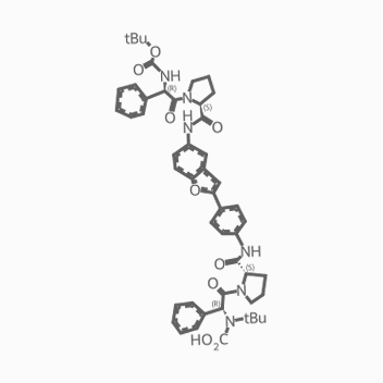 CC(C)(C)OC(=O)N[C@@H](C(=O)N1CCC[C@H]1C(=O)Nc1ccc2oc(-c3ccc(NC(=O)[C@@H]4CCCN4C(=O)[C@@H](c4ccccc4)N(C(=O)O)C(C)(C)C)cc3)cc2c1)c1ccccc1